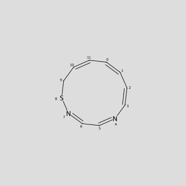 C1=CC=CN=CC=NSCC=C1